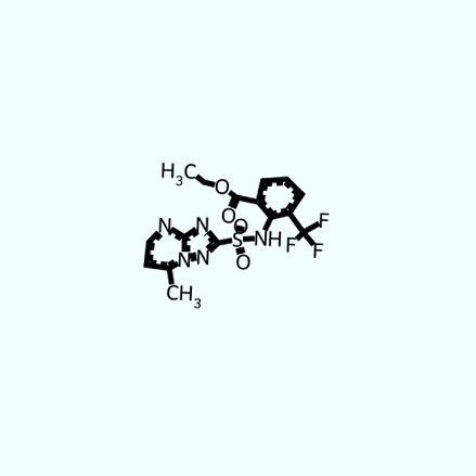 CCOC(=O)c1cccc(C(F)(F)F)c1NS(=O)(=O)c1nc2nccc(C)n2n1